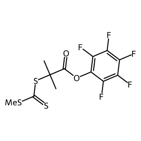 CSC(=S)SC(C)(C)C(=O)Oc1c(F)c(F)c(F)c(F)c1F